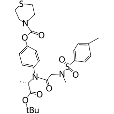 Cc1ccc(S(=O)(=O)N(C)CC(=O)N(c2ccc(OC(=O)N3CCSCC3)cc2)[C@@H](C)C(=O)OC(C)(C)C)cc1